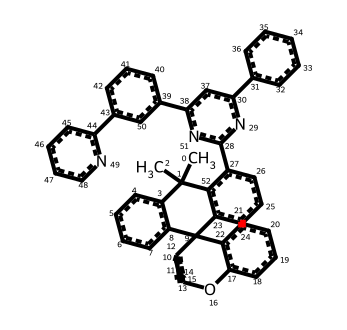 CC1(C)c2ccccc2C2(c3ccccc3Oc3ccccc32)c2cccc(-c3nc(-c4ccccc4)cc(-c4cccc(-c5ccccn5)c4)n3)c21